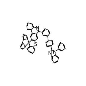 c1ccc(-n2c(-c3ccc(-c4cccc(-c5nc6ccccc6c6cc7c(cc56)Sc5ccccc5C75c6ccccc6-c6ccccc65)c4)cc3)nc3ccccc32)cc1